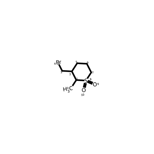 CC1C(CBr)CCCS1(=O)=O